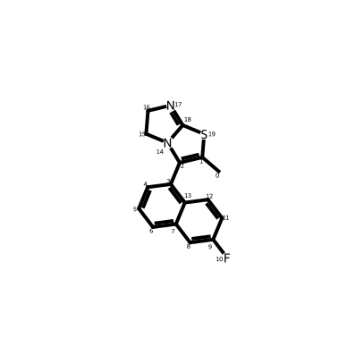 CC1=C(c2cccc3cc(F)ccc23)N2CCN=C2S1